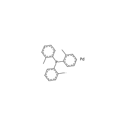 [CH2]c1ccccc1P(c1ccccc1C)c1ccccc1C.[Pd]